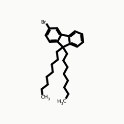 CCCCCCCCC1(CCCCCCCC)c2ccccc2-c2cc(Br)ccc21